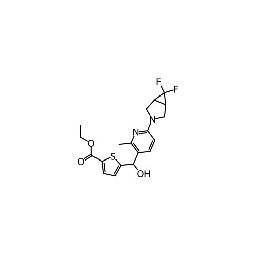 CCOC(=O)c1ccc(C(O)c2ccc(N3CC4C(C3)C4(F)F)nc2C)s1